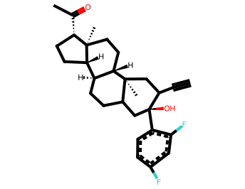 C#CC1C[C@@]2(C)C(CC[C@H]3[C@@H]4CC[C@H](C(C)=O)[C@@]4(C)CC[C@@H]32)C[C@@]1(O)c1ccc(F)cc1F